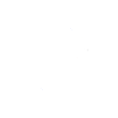 COc1c(-c2nccs2)ccc2cc(-c3nccs3)ccc12